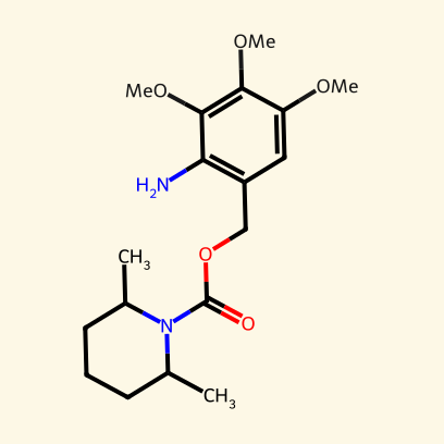 COc1cc(COC(=O)N2C(C)CCCC2C)c(N)c(OC)c1OC